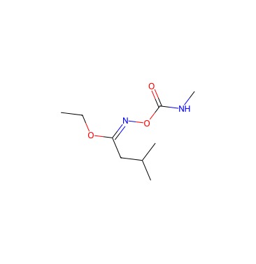 CCOC(CC(C)C)=NOC(=O)NC